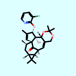 CC1=C[C@]23C(=O)[C@@H](C=C4COC(C)(C)O[C@H]4[C@]2(O)[C@H]1Oc1ncccc1Cl)[C@H]1[C@@H](C[C@H]3C)C1(C)C